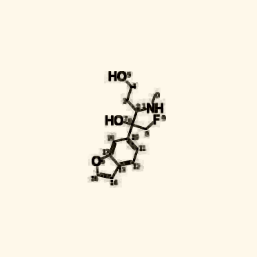 CNC(CCO)C(O)(CF)c1ccc2ccoc2c1